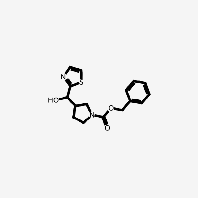 O=C(OCc1ccccc1)N1CCC(C(O)c2nccs2)C1